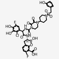 O=C(O)c1c(F)ccc2c1OB(O)[C@@H](NC(=O)C(NC(=O)N1CCN(C3CCN(S(=O)(=O)Cc4cccc(O)c4)CC3)C(=O)C1=O)c1cc(F)c(O)c(O)c1Cl)C2